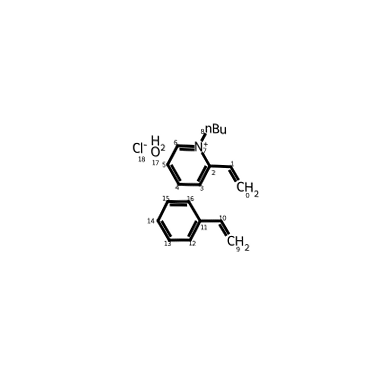 C=Cc1cccc[n+]1CCCC.C=Cc1ccccc1.O.[Cl-]